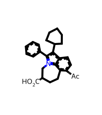 CC(=O)c1ccc2c(C3CCCCC3)c(-c3ccccc3)n3c2c1CCC(C(=O)O)C3